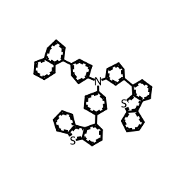 c1cc(-c2cccc3c2sc2ccccc23)cc(N(c2ccc(-c3cccc4ccccc34)cc2)c2ccc(-c3cccc4sc5ccccc5c34)cc2)c1